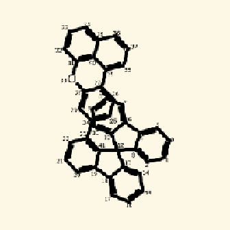 c1ccc2c(c1)-c1ccccc1C21c2ccccc2-c2cccc(-c3ccc4c(c3)Oc3cccc5cccc-4c35)c21